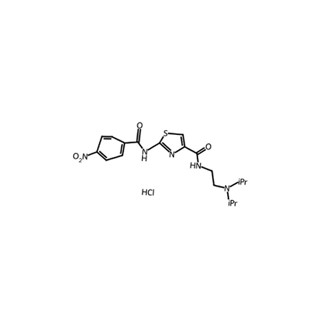 CC(C)N(CCNC(=O)c1csc(NC(=O)c2ccc([N+](=O)[O-])cc2)n1)C(C)C.Cl